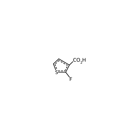 O=C(O)c1ccsc1F